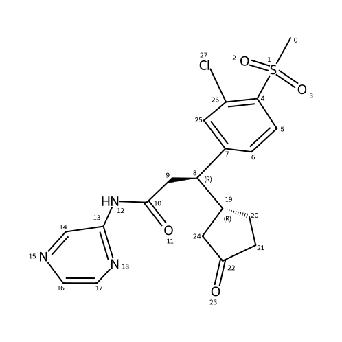 CS(=O)(=O)c1ccc([C@H](CC(=O)Nc2cnccn2)[C@@H]2CCC(=O)C2)cc1Cl